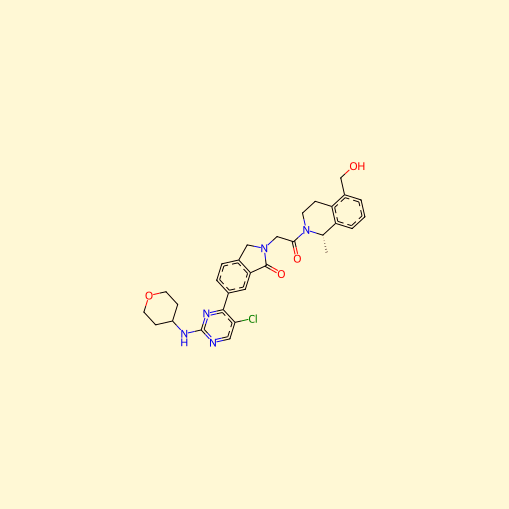 C[C@H]1c2cccc(CO)c2CCN1C(=O)CN1Cc2ccc(-c3nc(NC4CCOCC4)ncc3Cl)cc2C1=O